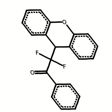 O=C(c1ccccc1)C(F)(F)C1c2ccccc2Oc2ccccc21